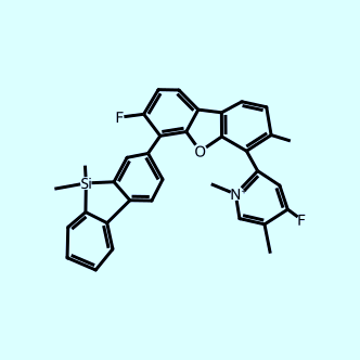 Cc1c[n+](C)c(-c2c(C)ccc3c2oc2c(-c4ccc5c(c4)[Si](C)(C)c4ccccc4-5)c(F)ccc23)cc1F